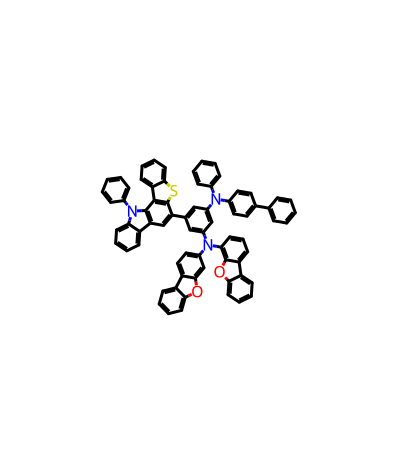 c1ccc(-c2ccc(N(c3ccccc3)c3cc(-c4cc5c6ccccc6n(-c6ccccc6)c5c5c4sc4ccccc45)cc(N(c4ccc5c(c4)oc4ccccc45)c4cccc5c4oc4ccccc45)c3)cc2)cc1